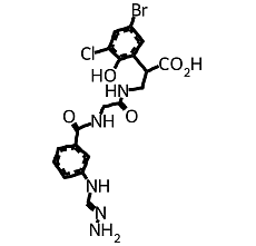 NN=CNc1cccc(C(=O)NCC(=O)NCC(C(=O)O)c2cc(Br)cc(Cl)c2O)c1